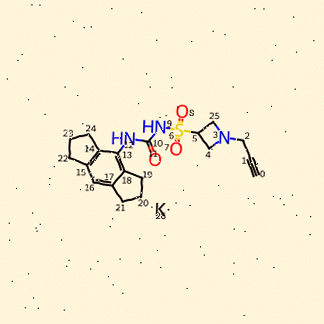 C#CCN1CC(S(=O)(=O)NC(=O)Nc2c3c(cc4c2CCC4)CCC3)C1.[K]